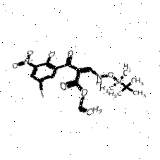 CCOC(=O)C(=CNO[Si](C)(C)C(C)(C)C)C(=O)c1cc(I)cc([N+](=O)[O-])c1Cl